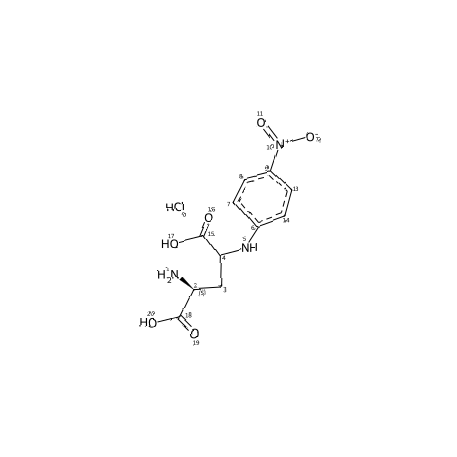 Cl.N[C@@H](CC(Nc1ccc([N+](=O)[O-])cc1)C(=O)O)C(=O)O